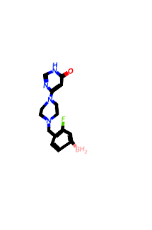 Bc1ccc(CN2CCN(c3cc(=O)[nH]cn3)CC2)c(F)c1